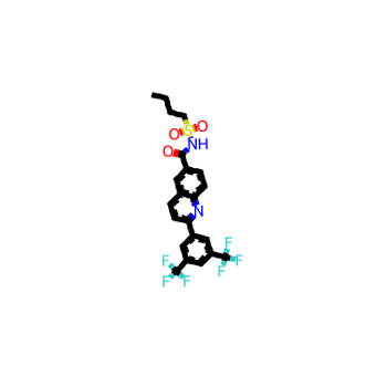 CCCCS(=O)(=O)NC(=O)c1ccc2nc(-c3cc(C(F)(F)F)cc(C(F)(F)F)c3)ccc2c1